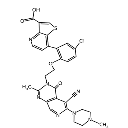 Cc1nc2cnc(N3CCN(C)CC3)c(C#N)c2c(=O)n1CCOc1ccc(Cl)cc1-c1ccnc2c(C(=O)O)csc12